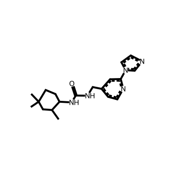 CC1CC(C)(C)CCC1NC(=O)NCc1ccnc(-n2ccnc2)c1